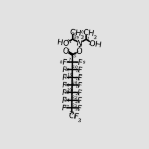 CC(O)N(OC(=O)C(F)(F)C(F)(F)C(F)(F)C(F)(F)C(F)(F)C(F)(F)C(F)(F)C(F)(F)F)C(C)O